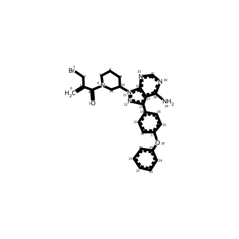 C=C(CBr)C(=O)N1CCCC(n2nc(-c3ccc(Oc4ccccc4)cc3)c3c(N)ncnc32)C1